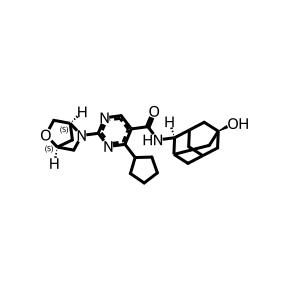 O=C(N[C@H]1C2CC3CC1C[C@@](O)(C3)C2)c1cnc(N2C[C@@H]3C[C@H]2CO3)nc1C1CCCC1